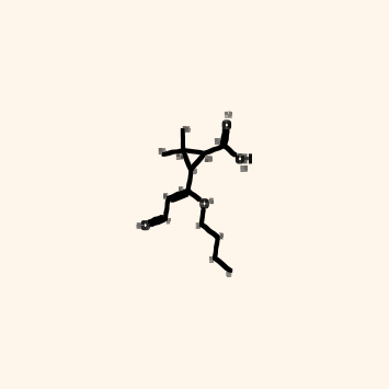 CCCCOC(=CC=O)C1C(C(=O)O)C1(C)C